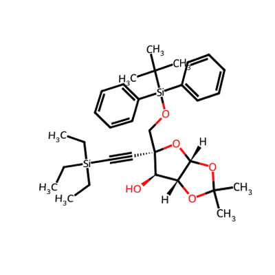 CC[Si](C#C[C@]1(CO[Si](c2ccccc2)(c2ccccc2)C(C)(C)C)O[C@@H]2OC(C)(C)O[C@@H]2[C@H]1O)(CC)CC